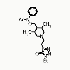 CCn1nnn(CCN2CC(C)C(CON(C(C)=O)c3ccccc3)C(C)C2)c1=O